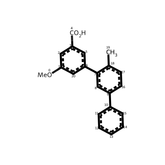 COc1cc(C(=O)O)cc(-c2cc(-c3ccccc3)ccc2C)c1